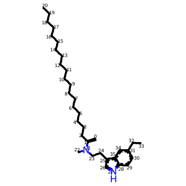 C=C(CCCCCCCCCCCCCCCCCCC)N(C)CCc1c[nH]c2ccc(CC)cc12